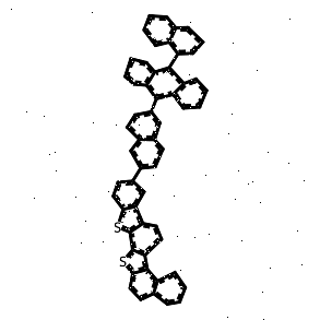 c1ccc2c(-c3c4ccccc4c(-c4ccc5cc(-c6ccc7sc8c(ccc9c8sc8ccc%10ccccc%10c89)c7c6)ccc5c4)c4ccccc34)cccc2c1